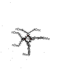 CCCCCCCCCCCCCCCCc1cc2c(cc1CCCCCCCCCCCCCCCC)-c1nc-2nc2[nH]c(nc3nc(nc4[nH]c(n1)c1cc(CCCCCCCCCCCCCCCC)c(CCCCCCCCCCCCCCCC)cc41)-c1ccc(OCCOCCOCCOC)cc1-3)c1ccc(OCCOCCOCCOC)cc21